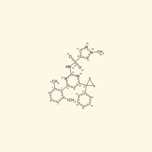 Cc1cccc(C)c1-c1cc(C2(c3ccccc3)CC2)nc(NS(=O)(=O)c2cnn(C)c2)n1